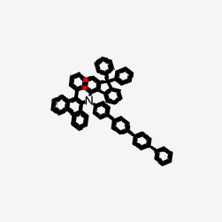 c1ccc(-c2ccc(-c3ccc(-c4ccc(N(c5cccc6c5-c5ccccc5C6(c5ccccc5)c5ccccc5)c5c(-c6ccccc6)c6ccccc6c6ccccc56)cc4)cc3)cc2)cc1